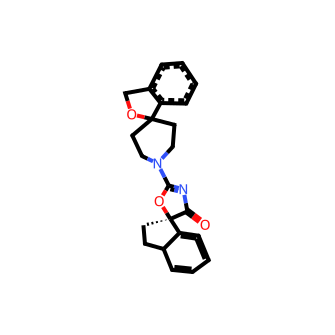 O=C1N=C(N2CCC3(CC2)OCc2ccccc23)O[C@@]12CCC1C=CC=C=C12